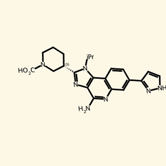 CC(C)n1c([C@H]2CCCN(C(=O)O)C2)nc2c(N)nc3cc(-c4cc[nH]n4)ccc3c21